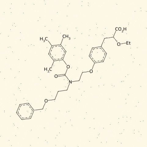 CCOC(Cc1ccc(OCCN(CCCOCc2ccccc2)C(=O)Oc2cc(C)c(C)cc2C)cc1)C(=O)O